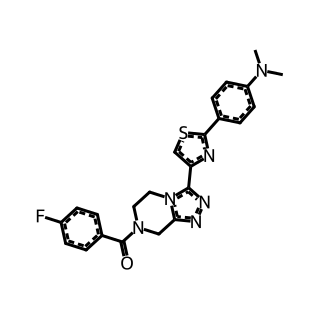 CN(C)c1ccc(-c2nc(-c3nnc4n3CCN(C(=O)c3ccc(F)cc3)C4)cs2)cc1